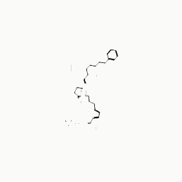 COC(=O)c1ccc(CCCN2C(=O)CC[C@@H]2/C=C/[C@@H](O)[C@H](C)CCCCc2ccccc2)s1